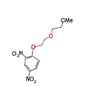 COCCOCCOc1ccc([N+](=O)[O-])cc1[N+](=O)[O-]